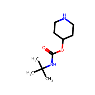 CC(C)(C)NC(=O)OC1CCNCC1